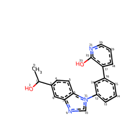 CC(O)c1ccc2c(c1)ncn2-c1cccc(-c2cccnc2O)c1